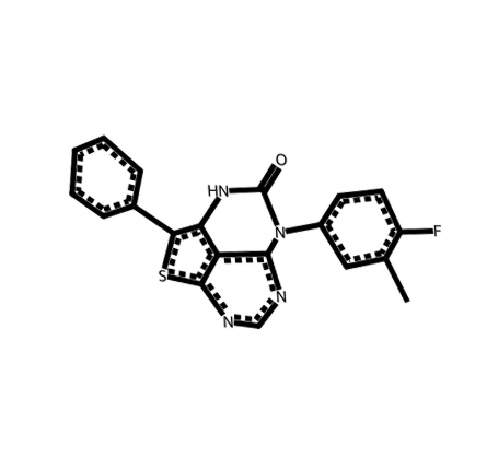 Cc1cc(N2C(=O)Nc3c(-c4ccccc4)sc4ncnc2c34)ccc1F